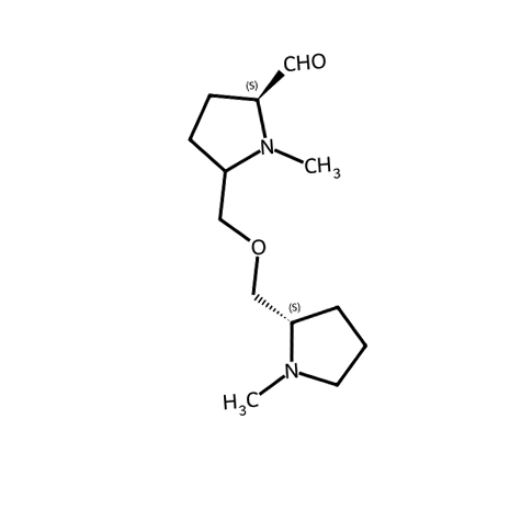 CN1CCC[C@H]1COCC1CC[C@@H](C=O)N1C